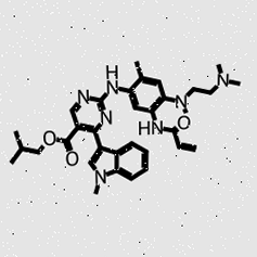 C=CC(=O)Nc1cc(Nc2ncc(C(=O)OCC(C)C)c(-c3cn(C)c4ccccc34)n2)c(C)cc1N(C)CCN(C)C